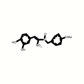 COc1ccc(C[S+]([O-])/C(=C/c2ccc(O)c(O)c2)[N+](=O)[O-])cc1